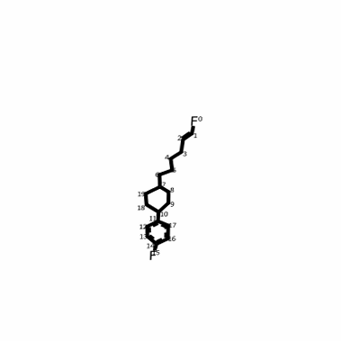 FC=CCCCCC1CCC(c2ccc(F)cc2)CC1